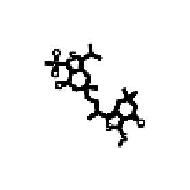 CSc1sc(C(C)CCC2(C)CC(=O)c3c(S(C)(=O)=O)sc(C(C)C)c3C2)c2c1C(=O)CC(C)(C)C2